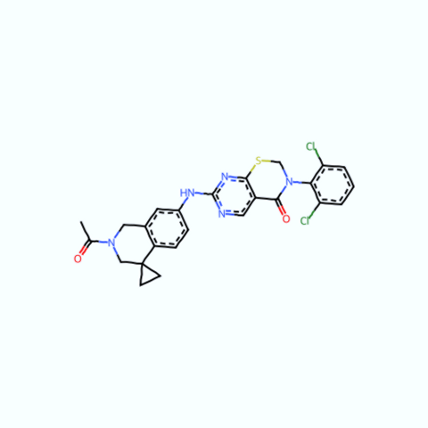 CC(=O)N1Cc2cc(Nc3ncc4c(n3)SCN(c3c(Cl)cccc3Cl)C4=O)ccc2C2(CC2)C1